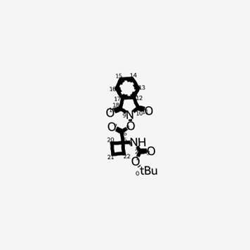 CC(C)(C)OC(=O)NC1(C(=O)ON2C(=O)c3ccccc3C2=O)CCC1